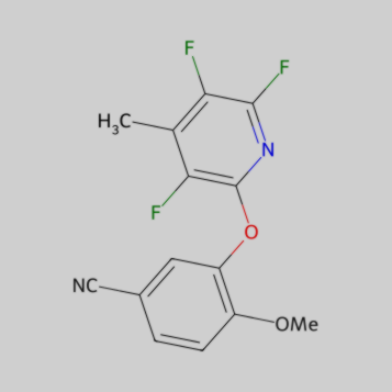 COc1ccc(C#N)cc1Oc1nc(F)c(F)c(C)c1F